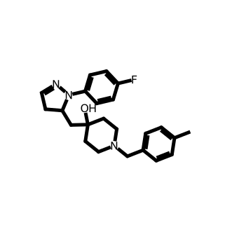 Cc1ccc(CN2CCC(O)(CC3CC=NN3c3ccc(F)cc3)CC2)cc1